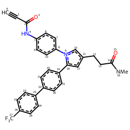 C#CC(=O)Nc1ccc(-n2cc(CCC(=O)NC)cc2-c2ccc(-c3ccc(C(F)(F)F)cc3)cc2)cc1